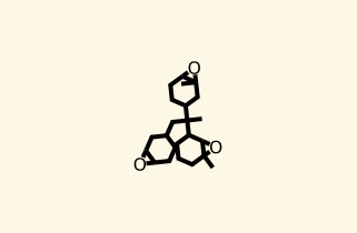 CC12CC(C(C)(CC3CCC4OC4C3)C3CCCC4(C)OC34)CCC1O2